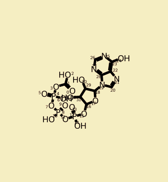 O=C(O)OP(=O)(O)OP(=O)(O)OP(=O)(O)OC1OC(n2cnc3c(O)ncnc32)C(O)C1O